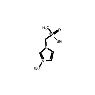 CC(C)(C)[n+]1ccn(C[P@@](C)(=O)C(C)(C)C)c1